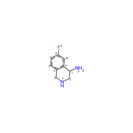 NC1CNCc2ccc(F)cc21